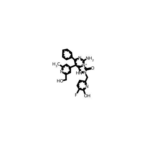 Cc1cc(-c2c(-c3ccccc3)nc(N)[n+]3c(=O)n(Cc4ccc(F)c(O)n4)[nH]c23)cc(CO)n1